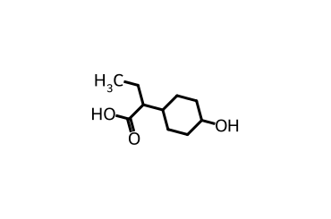 CCC(C(=O)O)C1CCC(O)CC1